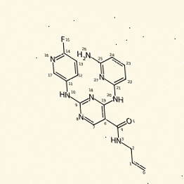 C=CCNC(=O)c1cnc(Nc2ccc(F)nc2)nc1Nc1cccc(N)n1